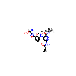 BC(B)(B)NC(=O)c1nnc(NC(=O)C2CC2)cc1Nc1cccc(-c2nc([C@@H](N)[C@@H](C)O)no2)c1OC